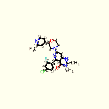 Cc1nc2cc(N3CCO[C@@H](c4ccnc(C(F)(F)F)c4)C3)nc(-c3ccc(Cl)cc3F)c2c(=O)n1C